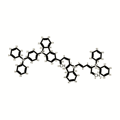 C=C/C(=C\C=C\n1c(/C=C\C(=C)c2ccc3c(c2)c2ccccc2n3-c2ccc(N(c3ccccc3)c3ccccc3)cc2)cc2ccccc21)N(c1ccccc1)c1ccccc1